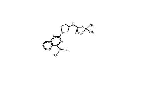 CN(C)c1nc(N2CCC(NC(=O)OC(C)(C)C)C2)nc2ccccc12